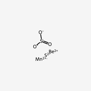 O=[Si]([O-])[O-].[Be+2].[Mn+2].[S-2]